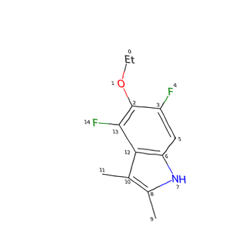 CCOc1c(F)cc2[nH]c(C)c(C)c2c1F